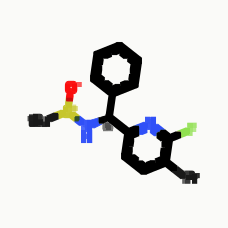 CC(C)c1ccc([C@@H](N[S+]([O-])C(C)(C)C)c2ccccc2)nc1F